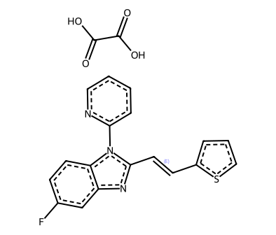 Fc1ccc2c(c1)nc(/C=C/c1cccs1)n2-c1ccccn1.O=C(O)C(=O)O